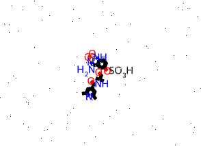 Cc1cc(C(=O)NC(C)(C)COc2c(OS(=O)(=O)O)ccc3c2C(N)=NS(=O)(=O)N3)cc(C)n1